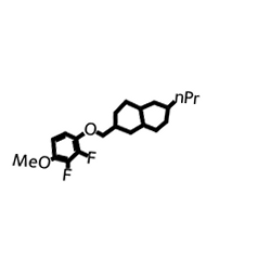 CCCC1CCC2CC(COc3ccc(OC)c(F)c3F)CCC2C1